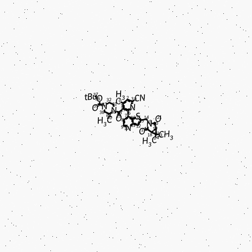 Cc1cc(C#N)nc(-c2ccnc3cc(CN4C(=O)C5C(C4=O)C5(C)C)sc23)c1C(=O)N1CCN(C(=O)OC(C)(C)C)C[C@@H]1C